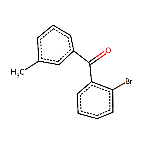 Cc1cccc(C(=O)c2ccccc2Br)c1